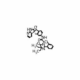 CCC1(CC)N=C(c2ccccc2Cl)N(CC(=O)Nc2ccc3c(c2)C[C@@]2(C3)C(=O)Nc3ncccc32)C1=O